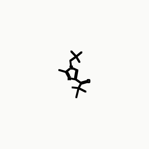 Cc1nc(C(=O)C(C)(C)C)cn1CC(C)(C)C